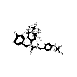 [2H]C([2H])(Oc1ccc(CNC(=O)N(Cc2ccc(F)cc2)C2CC([2H])([2H])N(C([2H])([2H])[2H])C([2H])([2H])C2)cc1)C(C)C